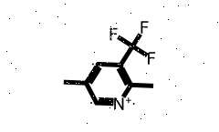 CC1=[C]C(C(F)(F)F)=C(C)[N+]=[C]1